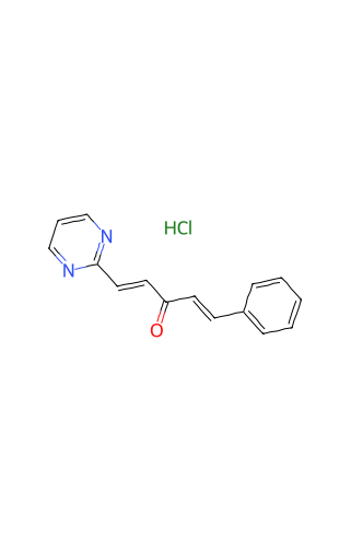 Cl.O=C(C=Cc1ccccc1)C=Cc1ncccn1